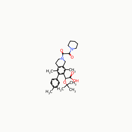 Cc1ccc(-c2c(C)c3c(c(C)c2C(OC(C)(C)C)C(=O)O)CN(C(=O)C(=O)N2CCCCC2)CC3)cc1